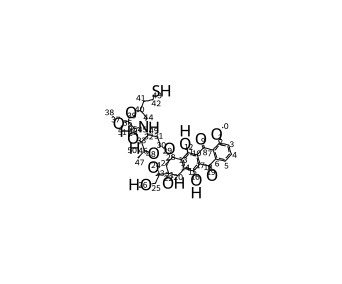 COc1cccc2c1C(=O)c1c(O)c3c(c(O)c1C2=O)C[C@@](O)(C(=O)CO)C[C@@H]3O[C@H]1C[C@H]2[C@H](O[C@@H]3[C@@H](OC)OC(CCS)CN32)[C@H](C)O1